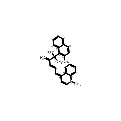 C=C(/C=C/C=C1/C=CN(C)c2ccccc21)C(C)(C)c1c(C)ccc2ccccc12